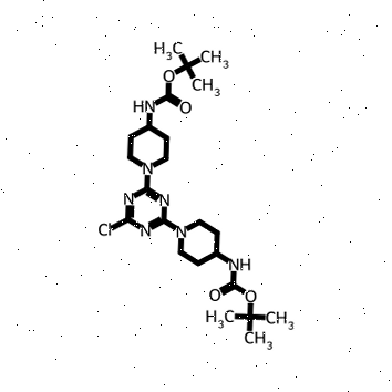 CC(C)(C)OC(=O)NC1CCN(c2nc(Cl)nc(N3CCC(NC(=O)OC(C)(C)C)CC3)n2)CC1